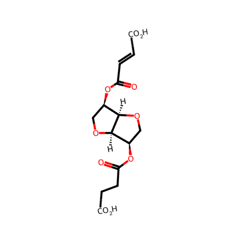 O=C(O)/C=C/C(=O)O[C@@H]1CO[C@H]2[C@@H]1OC[C@H]2OC(=O)CCC(=O)O